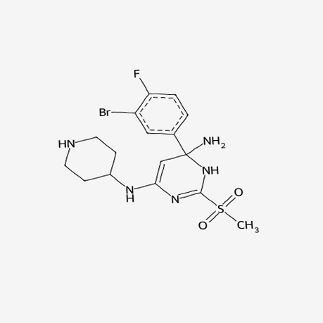 CS(=O)(=O)C1=NC(NC2CCNCC2)=CC(N)(c2ccc(F)c(Br)c2)N1